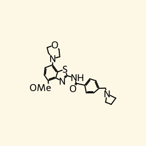 COc1ccc(N2CCOCC2)c2sc(NC(=O)c3ccc(CN4CCC4)cc3)nc12